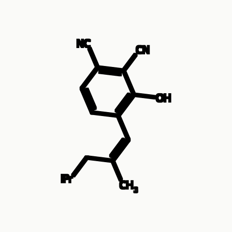 CC(=Cc1ccc(C#N)c(C#N)c1O)CC(C)C